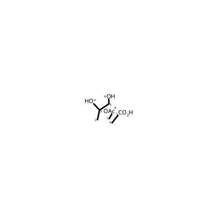 CC(=O)O.CC(O)CO.COC(C)=O